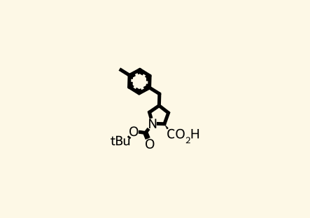 Cc1ccc(CC2C[C@H](C(=O)O)N(C(=O)OC(C)(C)C)C2)cc1